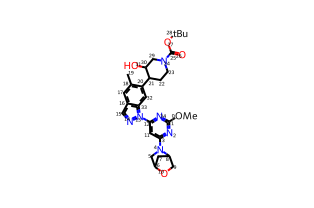 COc1nc(N2CC3CC2CO3)cc(-n2ncc3cc(C)c(C4CCN(C(=O)OC(C)(C)C)CC4O)cc32)n1